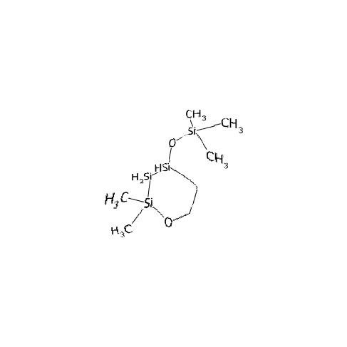 C[Si](C)(C)O[SiH]1CCO[Si](C)(C)[SiH2]1